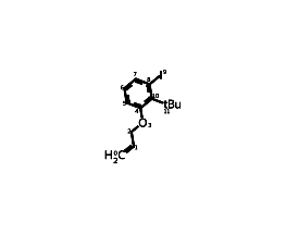 C=CCOc1cccc(I)c1C(C)(C)C